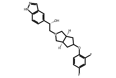 O[C@H](CN1C[C@H]2CC(Oc3ccc(F)cc3F)C[C@H]2C1)c1ccc2[nH]ncc2c1